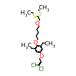 CCSC(COCCCCCOc1c(CC)cc(OCC=C(Cl)Cl)cc1CC)SCC